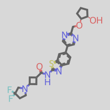 O=C(Nc1nc2ccc(-c3cnc(CO[C@H]4CCC[C@@H]4O)nc3)cc2s1)C1CC(N2CCC(F)(F)C2)C1